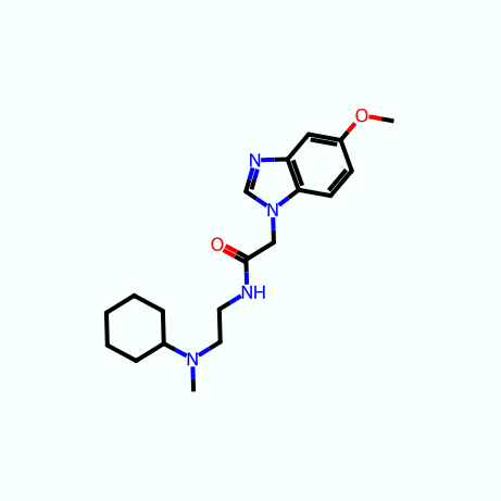 COc1ccc2c(c1)ncn2CC(=O)NCCN(C)C1CCCCC1